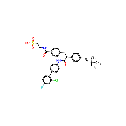 CC(C)(C)/C=C/c1ccc(C(Cc2ccc(C(=O)NCCS(=O)(=O)O)cc2)C(=O)Nc2ccc(-c3ccc(F)cc3Cl)cc2)cc1